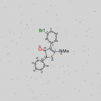 CNC1=C(c2cccc(Br)c2)C(=O)C(c2ccccc2)S1